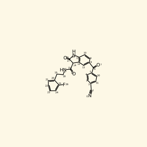 N#Cc1ccc(C(=O)c2ccc3c(c2)C(C(=O)NCCc2ccccc2F)C(=O)N3)cc1